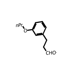 CCCOc1cccc(CC[C]=O)c1